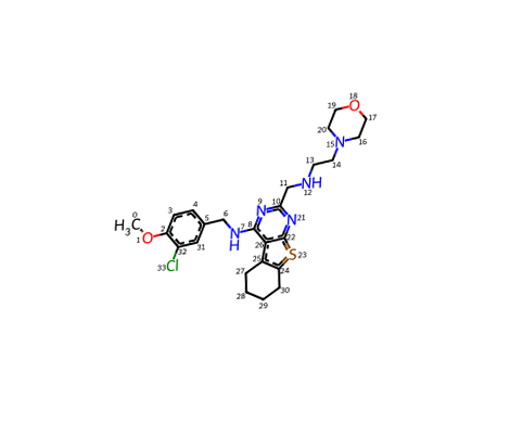 COc1ccc(CNc2nc(CNCCN3CCOCC3)nc3sc4c(c23)CCCC4)cc1Cl